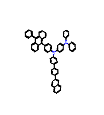 c1ccc(-c2c3ccccc3c(-c3ccc(N(c4ccc(-c5ccc(-c6ccc7ccccc7c6)cc5)cc4)c4ccc(N(c5ccccc5)c5ccccc5)cc4)cc3)c3ccccc23)cc1